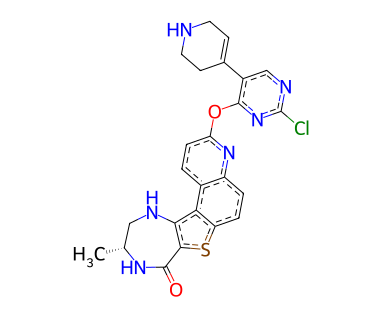 C[C@@H]1CNc2c(sc3ccc4nc(Oc5nc(Cl)ncc5C5=CCNCC5)ccc4c23)C(=O)N1